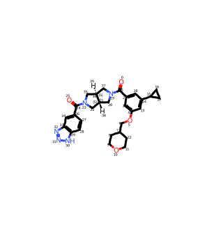 O=C(c1cc(OCC2CCOCC2)cc(C2CC2)c1)N1C[C@@H]2CN(C(=O)c3ccc4[nH]nnc4c3)C[C@H]2C1